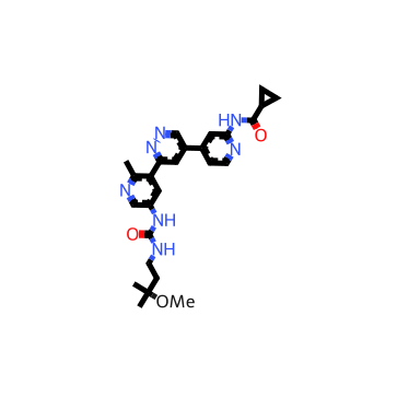 COC(C)(C)CCNC(=O)Nc1cnc(C)c(-c2cc(-c3ccnc(NC(=O)C4CC4)c3)cnn2)c1